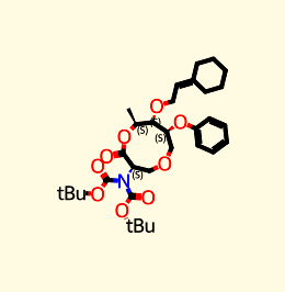 C[C@@H]1OC(=O)[C@@H](N(C(=O)OC(C)(C)C)C(=O)OC(C)(C)C)COC[C@H](Oc2ccccc2)[C@H]1OCC=C1CCCCC1